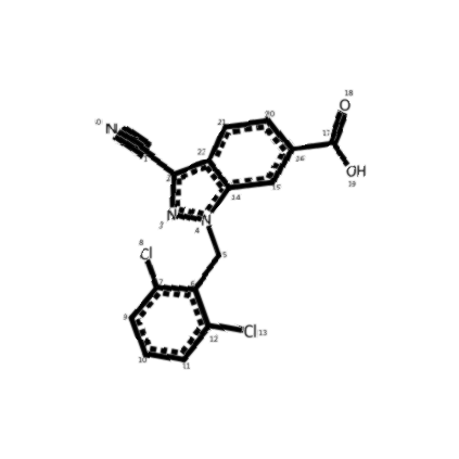 N#Cc1nn(Cc2c(Cl)cccc2Cl)c2cc(C(=O)O)ccc12